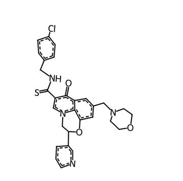 O=c1c(C(=S)NCc2ccc(Cl)cc2)cn2c3c(cc(CN4CCOCC4)cc13)OC(c1cccnc1)C2